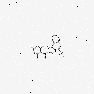 Cc1cc(C)c(Nc2cn3c(C(C)(C)C)cc4ccccc4c3n2)c(C)c1